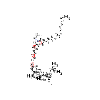 CCCCCCCC/C=C\CCCCCCCCOCC(CN1CCCCC1)OCCCOCCCO[C@H]1CC[C@](C)([C@H]2CC[C@]3(C)[C@@H]([C@H](C)CCCC(C)C)CC[C@H]3[C@@H]2CC)CC1